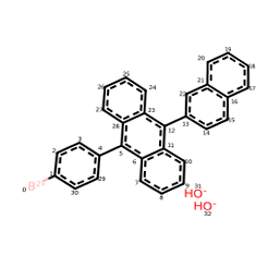 [B+2]c1ccc(-c2c3ccccc3c(-c3ccc4ccccc4c3)c3ccccc23)cc1.[OH-].[OH-]